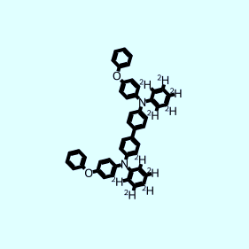 [2H]c1c([2H])c([2H])c(N(c2ccc(Oc3ccccc3)cc2)c2ccc(-c3ccc(N(c4ccc(Oc5ccccc5)cc4)c4c([2H])c([2H])c([2H])c([2H])c4[2H])cc3)cc2)c([2H])c1[2H]